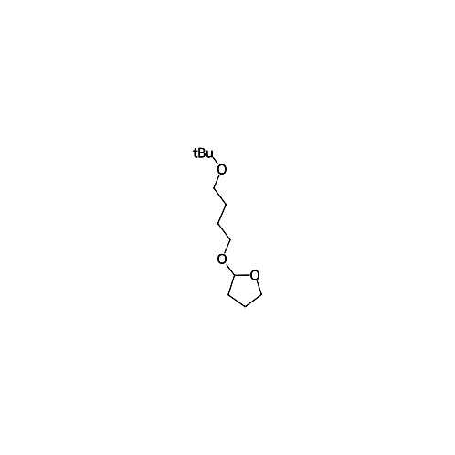 CC(C)(C)OCCCCOC1CCCO1